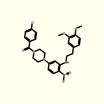 COc1ccc(CCNc2cc(N3CCN(C(=O)c4ccc(Cl)cc4)CC3)ccc2[N+](=O)[O-])cc1OC